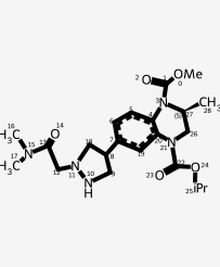 COC(=O)N1c2ccc(C3CNN(CC(=O)N(C)C)C3)cc2N(C(=O)OC(C)C)C[C@@H]1C